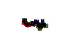 Cc1cc(OC[C@H]2CN(C(=O)OC(C)(C)C)CCO2)ccc1-c1nnc(Cc2ccc(Cl)c(Oc3cc(Cl)cc(C#N)c3)c2F)o1